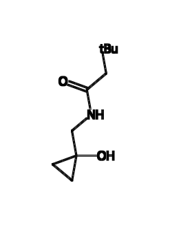 CC(C)(C)CC(=O)NCC1(O)CC1